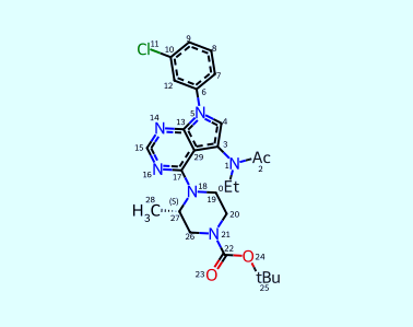 CCN(C(C)=O)c1cn(-c2cccc(Cl)c2)c2ncnc(N3CCN(C(=O)OC(C)(C)C)C[C@@H]3C)c12